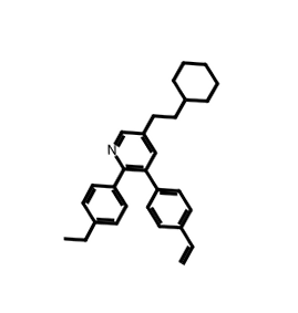 C=Cc1ccc(-c2cc(CCC3CCCCC3)cnc2-c2ccc(CC)cc2)cc1